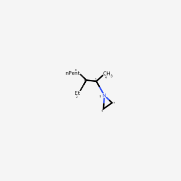 CCCCCC(CC)C(C)N1CC1